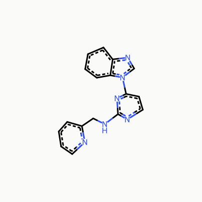 c1ccc(CNc2nccc(-n3cnc4ccccc43)n2)nc1